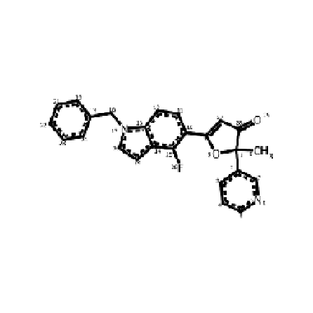 CC1(c2cccnc2)OC(c2ccc3c(ccn3Cc3ccccc3)c2F)=CC1=O